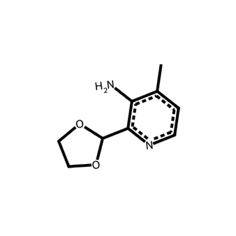 Cc1ccnc(C2OCCO2)c1N